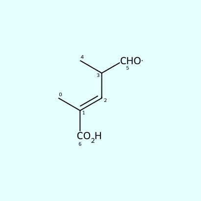 CC(=CC(C)[C]=O)C(=O)O